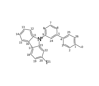 Cc1ccc(-c2cccc(-n3c4ccccc4c4ccc(I)cc43)c2)cc1